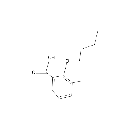 CCCCOc1c(C)cccc1C(=O)O